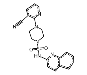 N#Cc1cccnc1N1CCN(S(=O)(=O)Nc2ccc3ccccc3n2)CC1